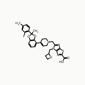 Cc1ccc(C2(C)Oc3cccc(C4=CCN(Cc5nc6sc(C(=O)O)nc6n5CC5CCO5)CC4)c3O2)c(F)c1